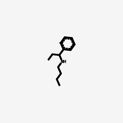 CCCCNC(CC)c1[c]cccc1